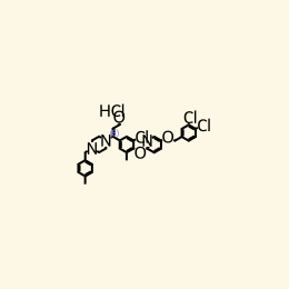 Cc1ccc(CN2CCN(/C(=C/C=O)c3cc(C)c(Oc4ccc(OCc5ccc(Cl)c(Cl)c5)cn4)c(Cl)c3)CC2)cc1.Cl